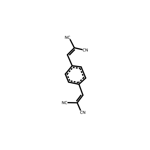 N#CC(C#N)=Cc1ccc(C=C(C#N)C#N)cc1